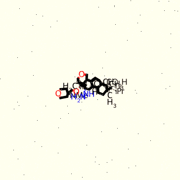 CNC1(CO[C@H]2[C@H](NN)C[C@@]34COC[C@]2(C)[C@@H]3CC[C@H]2C4=CC[C@@]3(C)[C@H](C(=O)O)[C@@](C)([C@H](C)C(C)C)CC[C@]23C)CCOCC1